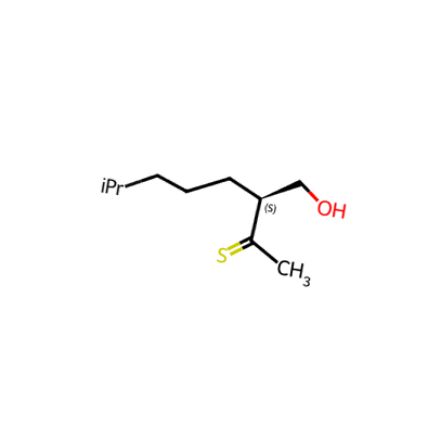 CC(=S)[C@H](CO)CCCC(C)C